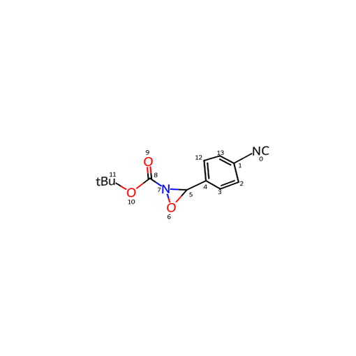 [C-]#[N+]c1ccc(C2ON2C(=O)OC(C)(C)C)cc1